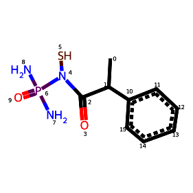 CC(C(=O)N(S)P(N)(N)=O)c1ccccc1